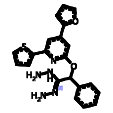 N/N=C(\NN)C(Oc1cc(-c2ccco2)cc(-c2cccs2)n1)c1ccccc1